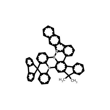 CC1(C)c2ccccc2-c2c1cc1c3c2-c2cccc4c5cc6ccccc6cc5n(c24)B3c2cccc3c2N1c1ccccc1C31c2ccccc2-c2ccccc21